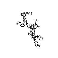 CCOc1nc2[nH]cc(F)c2cc1Oc1cc(N2CCC3(CC2)CC(N2CCN(Cc4ccc(OC)c5occc45)C[C@H]2c2ccccc2C(C)C)C3)ccc1C(=O)NS(=O)(=O)c1cnc(NCC2CCC(C)(O)CC2)c([N+](=O)[O-])c1